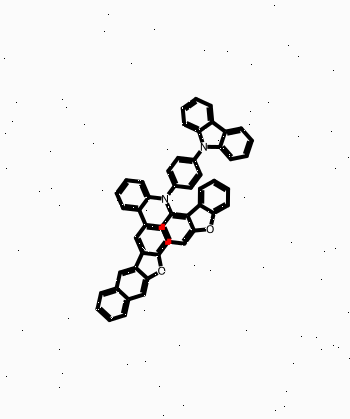 c1ccc(N(c2ccc(-n3c4ccccc4c4ccccc43)cc2)c2cccc3oc4ccccc4c23)c(-c2ccc3oc4cc5ccccc5cc4c3c2)c1